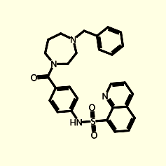 O=C(c1ccc(NS(=O)(=O)c2cccc3cccnc23)cc1)N1CCCN(Cc2ccccc2)CC1